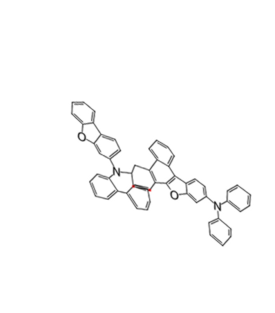 C1=CC(N(c2ccc3c(c2)oc2ccccc23)c2ccccc2-c2ccccc2)Cc2c1c1oc3cc(N(c4ccccc4)c4ccccc4)ccc3c1c1ccccc21